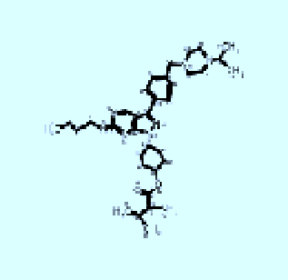 CCCCNc1ncc2c(-c3ccc(CN4CCN(C(C)C)CC4)cc3)nn([C@H]3CC[C@H](OC(=O)[C@@H](N)C(C)C)CC3)c2n1